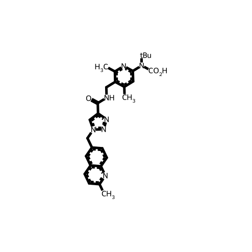 Cc1ccc2cc(Cn3cc(C(=O)NCc4c(C)cc(N(C(=O)O)C(C)(C)C)nc4C)nn3)ccc2n1